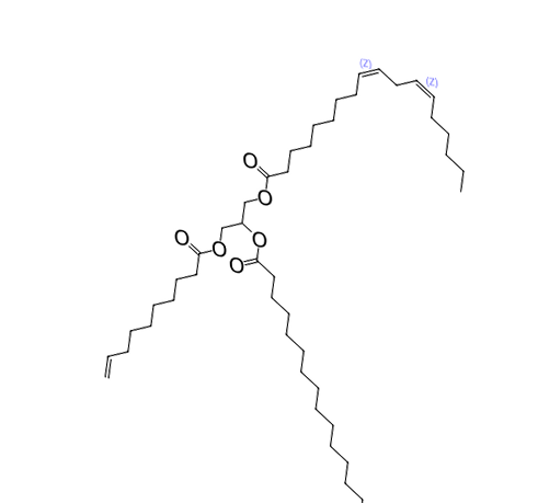 C=CCCCCCCCC(=O)OCC(COC(=O)CCCCCCC/C=C\C/C=C\CCCCC)OC(=O)CCCCCCCCCCCCCCC